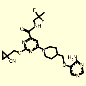 CC(F)(F)CNC(=O)c1cc(N2CCC(COc3cncnc3N)CC2)nc(OCC2(C#N)CC2)n1